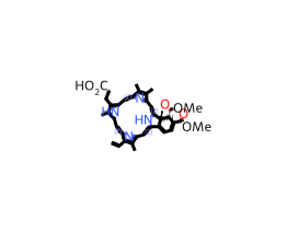 C=CC1=C(C)C2=NC/1=C\C1NC(=C(CCC(=O)O)C1C)/C=C1N=C(/C=C3\N/C(=C\2)C2=CC=C(C(=O)OC)[C@@H](C(=O)OC)[C@]23C)C(C)=C\1C